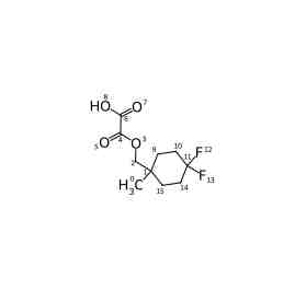 CC1(COC(=O)C(=O)O)CCC(F)(F)CC1